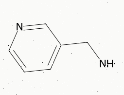 [NH]Cc1cccnc1